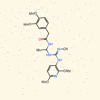 COc1ccc(N/C(=N\C#N)NC(NC(=O)Cc2ccc(OC)c(OC)c2)C(C)(C)C)c(OC)n1